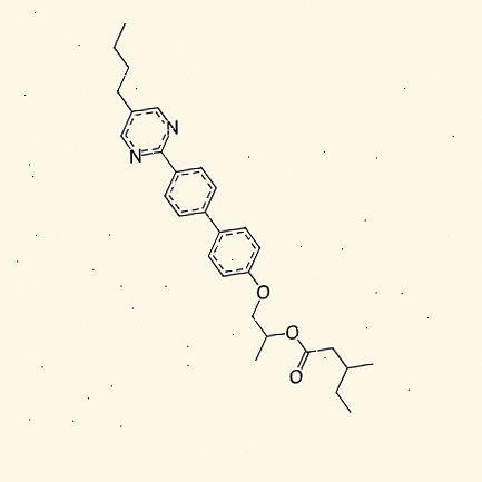 CCCCc1cnc(-c2ccc(-c3ccc(OCC(C)OC(=O)CC(C)CC)cc3)cc2)nc1